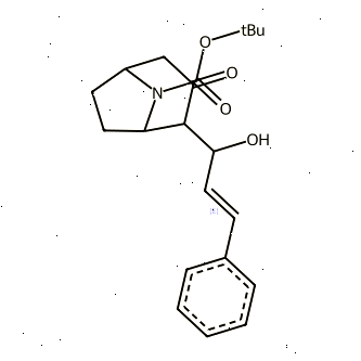 CC(C)(C)OC(=O)N1C2CCC1C(C(O)/C=C/c1ccccc1)C(=O)C2